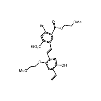 C=Cc1cc(OCCOC)c(/C=C/c2cc(C(=O)OCCOC)c(Br)cc2C(=O)OCC)cc1O